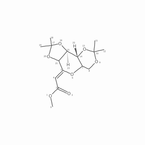 COC(=O)C=C1OC2COC(C)(C)O[C@H]2[C@@H]2OC(C)(C)OC12